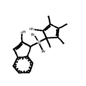 CCCC1=Cc2ccccc2[CH]1[Zr]([Br])([Br])[C]1(C)C(C)=C(C)C(C)=C1CCC